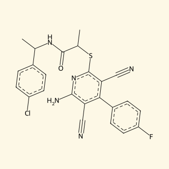 CC(Sc1nc(N)c(C#N)c(-c2ccc(F)cc2)c1C#N)C(=O)NC(C)c1ccc(Cl)cc1